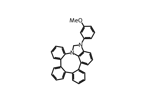 COc1cccc(N2Cn3c4ccccc4c4ccccc4c4ccccc4c4cccc2c43)c1